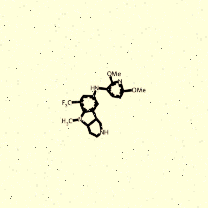 COc1ccc(Nc2cc3c(c(C(F)(F)F)c2)N(C)C2CCNCC32)c(OC)n1